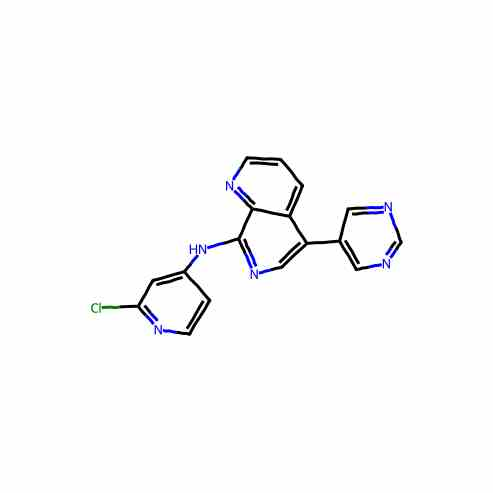 Clc1cc(Nc2ncc(-c3cncnc3)c3cccnc23)ccn1